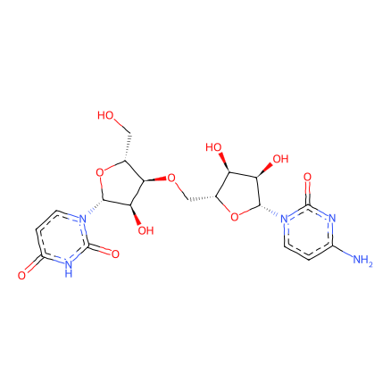 Nc1ccn([C@@H]2O[C@H](CO[C@H]3[C@@H](O)[C@H](n4ccc(=O)[nH]c4=O)O[C@@H]3CO)[C@@H](O)[C@H]2O)c(=O)n1